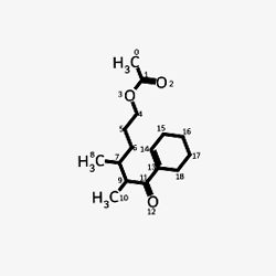 CC(=O)OCCCC(C)C(C)C(=O)C1=CCCCC1